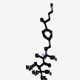 C=NN(C(=O)/C(Cl)=C(\C)OCc1ccc(C(=O)CCCF)cc1)C(C)(C)C